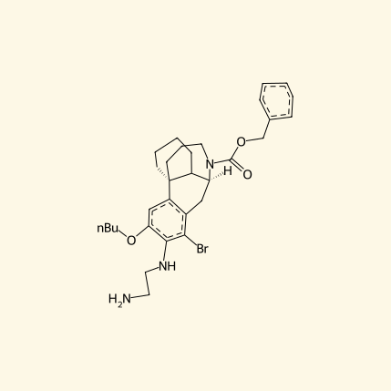 CCCCOc1cc2c(c(Br)c1NCCN)C[C@H]1C3CCCC[C@@]23CCCN1C(=O)OCc1ccccc1